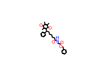 CC1=C(C)C(=O)C(C(CCCCCC(=O)NCC(=O)OCc2ccccc2)c2ccccc2)=C(C)C1=O